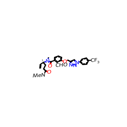 C=C[C@](C)(CCC(=O)NC)N(C)C(=O)c1cccc(OCc2cn(-c3ccc(C(F)(F)F)cc3)nn2)c1C=O